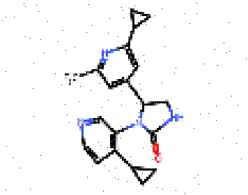 O=C1NCC(c2cc(C3CC3)nc(C(F)(F)F)c2)N1c1cnccc1C1CC1